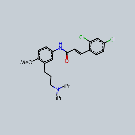 COc1ccc(NC(=O)C=Cc2ccc(Cl)cc2Cl)cc1CCCN(C(C)C)C(C)C